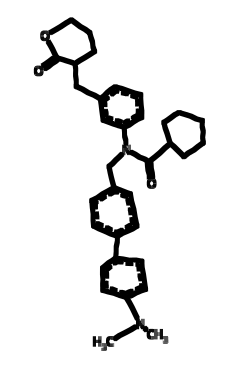 CN(C)c1ccc(-c2ccc(CN(C(=O)C3CCCCC3)c3cccc(CC4CCCOC4=O)c3)cc2)cc1